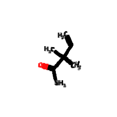 C=CC(C)(C)C(=O)[SiH3]